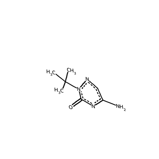 CC(C)(C)n1ncc(N)nc1=O